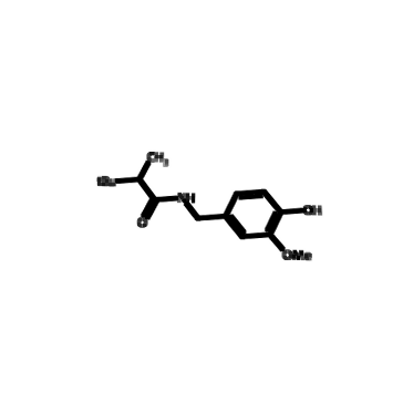 COc1cc(CNC(=O)C(C)C(C)(C)C)ccc1O